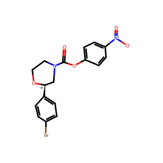 O=C(Oc1ccc([N+](=O)[O-])cc1)N1CCO[C@H](c2ccc(Br)cc2)C1